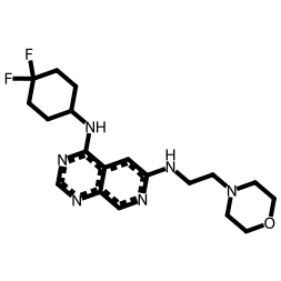 FC1(F)CCC(Nc2ncnc3cnc(NCCN4CCOCC4)cc23)CC1